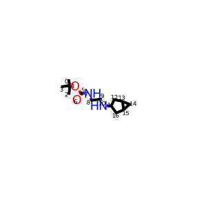 CC(C)(C)OC(=O)NCCNC1CC2CC2C1